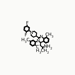 C=C(N)CC1c2cccc(C)c2N=C(C2CCN(c3cc(F)ccc3F)CC2)N1c1cc(C)ccc1C